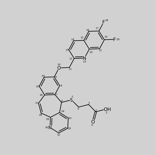 O=C(O)CCSC1c2cc(OCc3ccc4cc(F)c(F)cc4n3)ccc2C=Cc2ncccc21